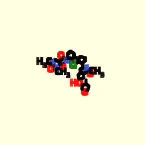 COc1nc(-c2cccc(-c3cccc(NC(=O)c4cn(C)c(=O)n(C)c4=O)c3Cl)c2Cl)cc2c1[C@H](CC1=C(O)COCC1)CC2